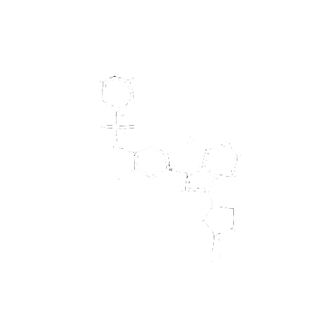 Nc1ncnc2c1c(-c1ccc(NS(=O)(=O)c3ccccc3)c(Cl)c1)cn2C1CCC(O)C1